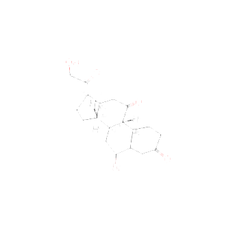 C[C@]12CC(=O)[C@H]3[C@@H](CC(Br)C4CC(=O)CC[C@@]43C)[C@@H]1CC[C@@H]2C(=O)CO